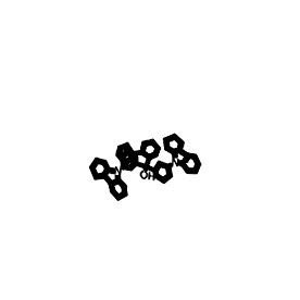 OC(c1cccc(-n2c3ccccc3c3ccccc32)c1)(c1cccc(-n2c3ccccc3c3ccccc32)c1)c1ccccc1-c1ccccc1